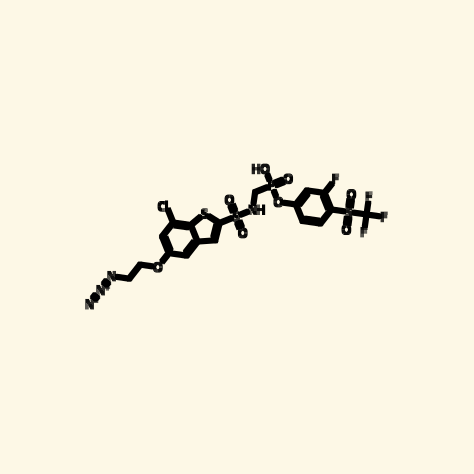 [N-]=[N+]=NCCOc1cc(Cl)c2sc(S(=O)(=O)NCP(=O)(O)Oc3ccc(S(=O)(=O)C(F)(F)F)c(F)c3)cc2c1